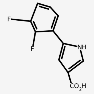 O=C(O)c1c[nH]c(-c2cccc(F)c2F)c1